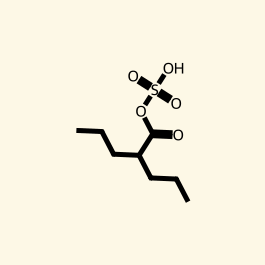 CCCC(CCC)C(=O)OS(=O)(=O)O